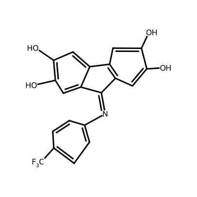 Oc1cc2c(cc1O)-c1cc(O)c(O)cc1C2=Nc1ccc(C(F)(F)F)cc1